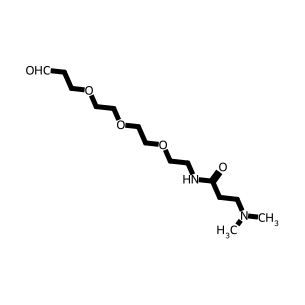 CN(C)CCC(=O)NCCOCCOCCOCCC=O